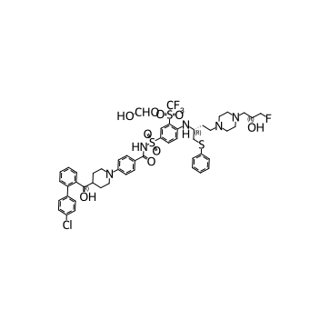 O=C(NS(=O)(=O)c1ccc(N[C@H](CCN2CCN(C[C@@H](O)CF)CC2)CSc2ccccc2)c(S(=O)(=O)C(F)(F)F)c1)c1ccc(N2CCC([C@@H](O)c3ccccc3-c3ccc(Cl)cc3)CC2)cc1.O=CO